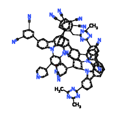 Cc1nc(C)nc(-c2ccc3c4ccccc4n(-c4cc(-c5ccncc5)c(C#N)cc4-n4c5ccccc5c5ccc(-c6nc(C)nc(Cc7c(C#N)cc(C#N)cc7-c7ccc8c(c7)c7cc(-c9cc(C#N)cc(C#N)c9)ccc7n8-c7cc(-c8ccncc8)c(C#N)cc7-n7c8ccc(-c9cc(C#N)cc(C#N)c9)cc8c8cc(-c9cc(C#N)cc(C#N)c9)ccc87)n6)cc54)c3c2)n1